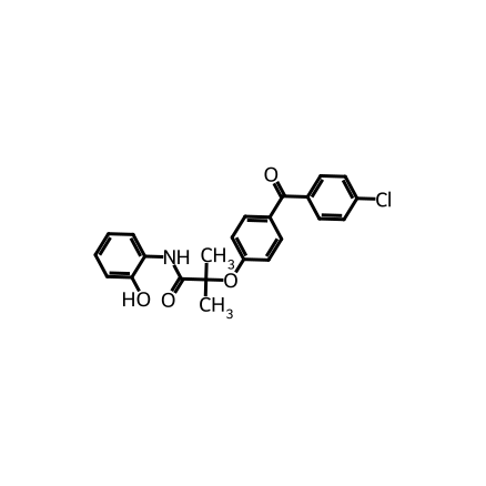 CC(C)(Oc1ccc(C(=O)c2ccc(Cl)cc2)cc1)C(=O)Nc1ccccc1O